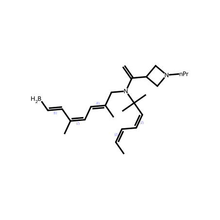 B/C=C/C(C)=C\C=C(/C)CN(C(=C)C1CN(CCC)C1)C(C)(C)/C=C\C=C/C